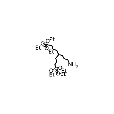 CCO[Si](CCCC(CCCN)CCC[Si](OCC)(OCC)OCC)(OCC)OCC